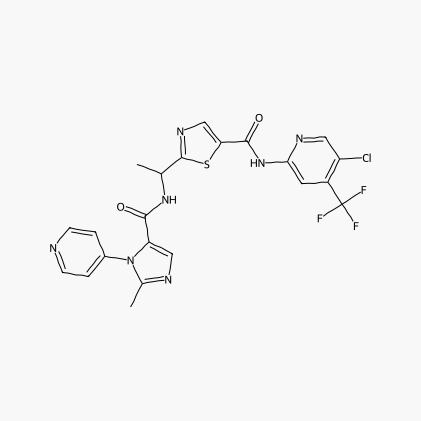 Cc1ncc(C(=O)NC(C)c2ncc(C(=O)Nc3cc(C(F)(F)F)c(Cl)cn3)s2)n1-c1ccncc1